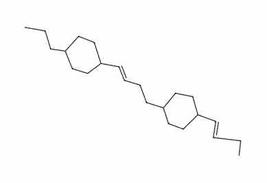 CCC=CC1CCC(CC/C=C/C2CCC(CCC)CC2)CC1